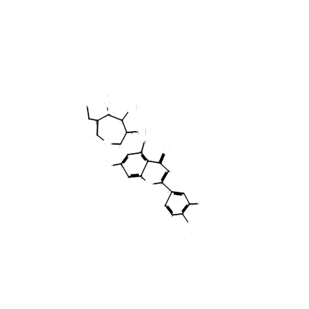 O=c1cc(-c2ccc(O)c(O)c2)oc2cc(O)c([C@@H]3OCC(CO)[C@@H](O)C(O)C3O)c(O)c12